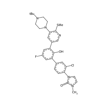 CSc1ncc(-c2cc(F)cc(-c3ccc(-n4ccn(C)c4=O)c(Cl)c3)c2O)cc1N1CCN(C(C)(C)C)CC1